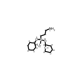 C[Si](CCCN)(OC1CCCCC1)OC1CCCCC1